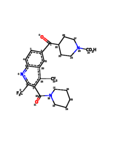 O=C(c1ccc2nc(C(F)(F)F)c(C(=O)N3CCCCC3)c(C(F)(F)F)c2c1)C1CCN(C(=O)O)CC1